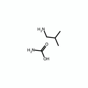 CC(C)CN.NC(=O)O